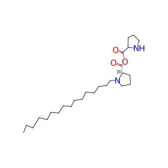 CCCCCCCCCCCCCCCCN1CCC[C@H]1C(=O)OC(=O)C1CCCN1